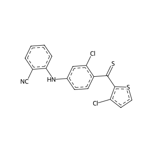 N#Cc1ccccc1Nc1ccc(C(=S)c2sccc2Cl)c(Cl)c1